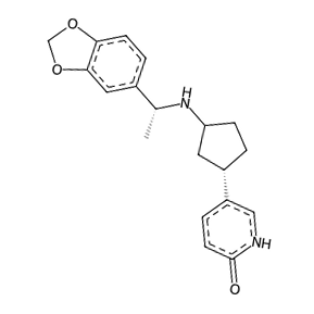 C[C@@H](NC1CC[C@H](c2ccc(=O)[nH]c2)C1)c1ccc2c(c1)OCO2